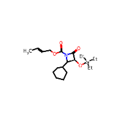 CC=CCOC(=O)N1C(=O)C(O[Si](CC)(CC)CC)C1C1CCCCC1